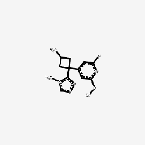 CCOc1cc(C2(c3nncn3C)CC(C)C2)cc(Cl)n1